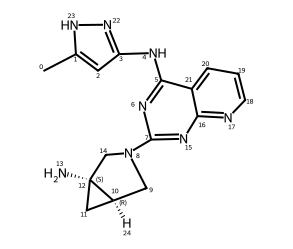 Cc1cc(Nc2nc(N3C[C@H]4C[C@@]4(N)C3)nc3ncccc23)n[nH]1